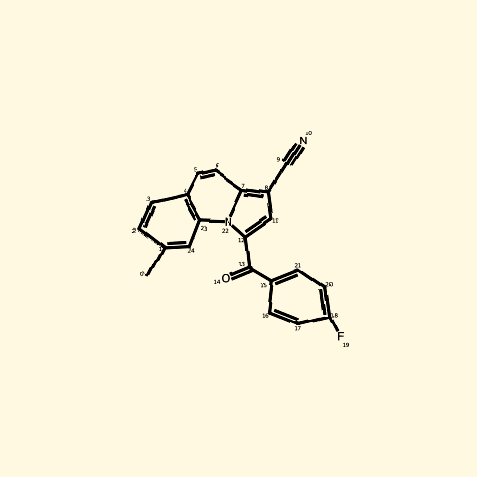 Cc1ccc2ccc3c(C#N)cc(C(=O)c4ccc(F)cc4)n3c2c1